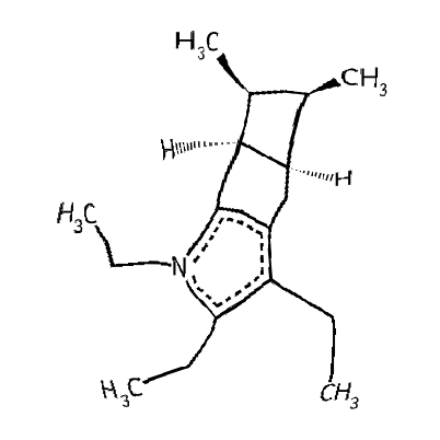 CCc1c2c(n(CC)c1CC)[C@H]1[C@@H](C)[C@@H](C)[C@@H]21